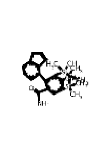 COc1c2cc(C([NH])=O)c(-c3cccc4c3C=CC4)c1[Si](C)(C)[Si](C)(C)[Si]2(C)C